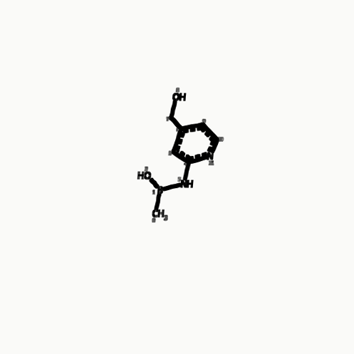 CB(O)Nc1cc(CO)ccn1